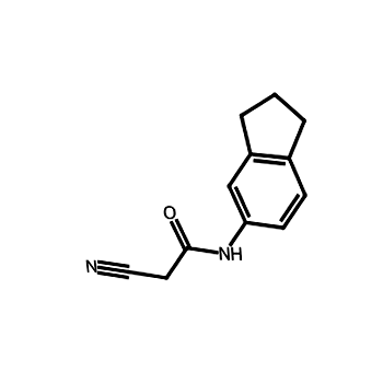 N#CCC(=O)Nc1ccc2c(c1)CCC2